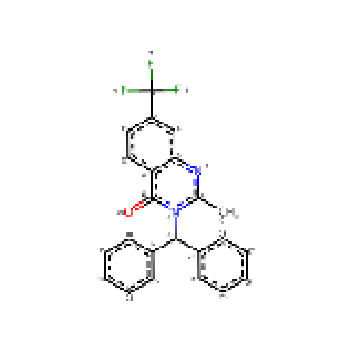 Cc1nc2cc(C(F)(F)F)ccc2c(=O)n1C(c1ccccc1)c1ccccc1